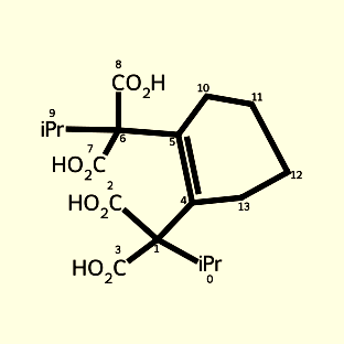 CC(C)C(C(=O)O)(C(=O)O)C1=C(C(C(=O)O)(C(=O)O)C(C)C)CCCC1